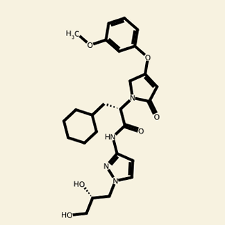 COc1cccc(OC2=CC(=O)N([C@@H](CC3CCCCC3)C(=O)Nc3ccn(C[C@@H](O)CO)n3)C2)c1